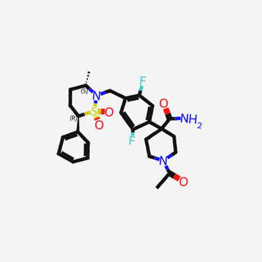 CC(=O)N1CCC(C(N)=O)(c2cc(F)c(CN3[C@@H](C)CC[C@H](c4ccccc4)S3(=O)=O)cc2F)CC1